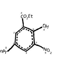 CCCc1cc(C(=O)OCC)c(O)c([N+](=O)[O-])c1